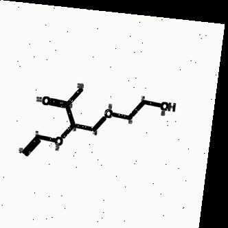 C=COC(COCCO)C(C)=O